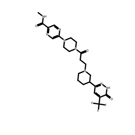 CNC(=O)c1cnc(N2CCN(C(=O)CCN3CCCC(c4cc(C(F)(F)F)c(=O)[nH]n4)C3)CC2)cn1